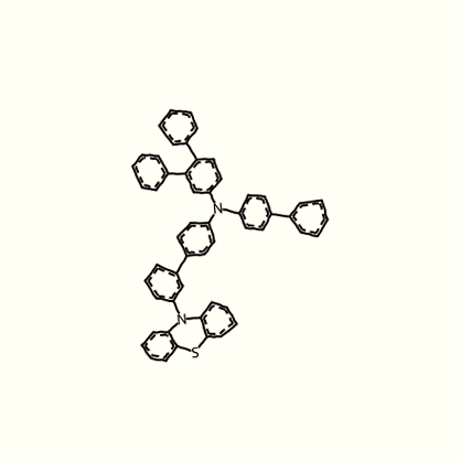 c1ccc(-c2ccc(N(c3ccc(-c4cccc(N5c6ccccc6Sc6ccccc65)c4)cc3)c3ccc(-c4ccccc4)c(-c4ccccc4)c3)cc2)cc1